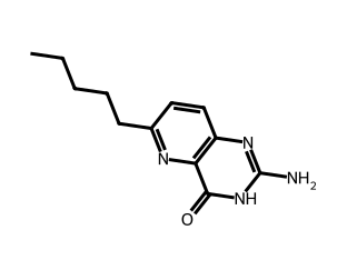 CCCCCc1ccc2nc(N)[nH]c(=O)c2n1